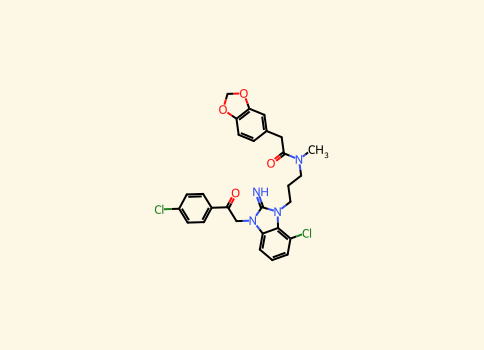 CN(CCCn1c(=N)n(CC(=O)c2ccc(Cl)cc2)c2cccc(Cl)c21)C(=O)Cc1ccc2c(c1)OCO2